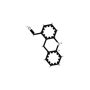 O=Cc1cccc2c1Cc1ccccc1S2